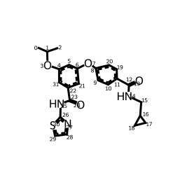 CC(C)Oc1cc(Oc2ccc(C(=O)NCC3CC3)cc2)cc(C(=O)Nc2nccs2)c1